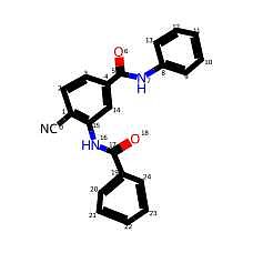 N#Cc1ccc(C(=O)Nc2ccccc2)cc1NC(=O)c1ccccc1